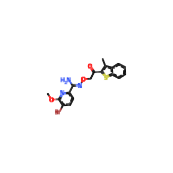 COc1nc(/C(N)=N/OCC(=O)c2sc3ccccc3c2C)ccc1Br